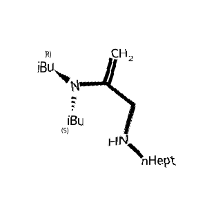 C=C(CNCCCCCCC)N([C@H](C)CC)[C@@H](C)CC